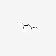 CC(C)=CC(F)CF